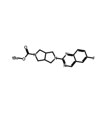 CC(C)(C)OC(=O)N1CC2CN(c3ncc4cc(F)ccc4n3)CC2C1